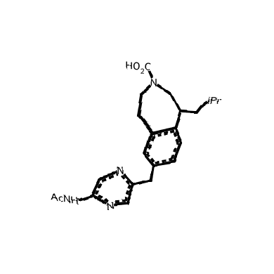 CC(=O)Nc1cnc(Cc2ccc3c(c2)CCN(C(=O)O)CC3CC(C)C)cn1